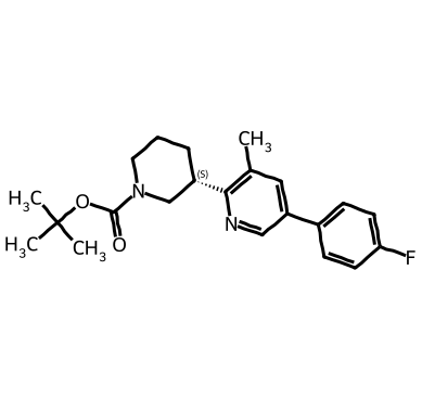 Cc1cc(-c2ccc(F)cc2)cnc1[C@H]1CCCN(C(=O)OC(C)(C)C)C1